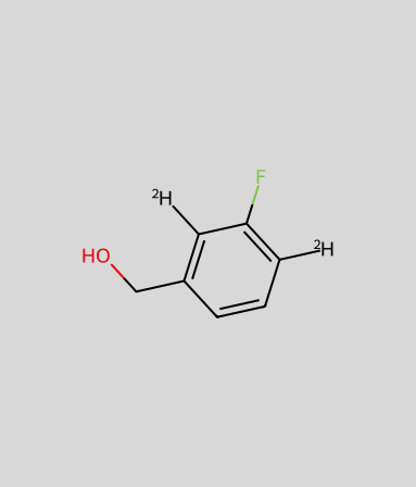 [2H]c1ccc(CO)c([2H])c1F